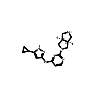 c1cc(Nc2cc(C3CC3)[nH]n2)nc(N2C[C@H]3CNC[C@H]3C2)n1